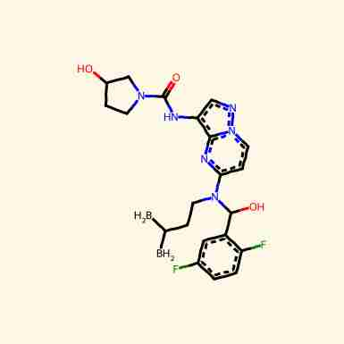 BC(B)CCN(c1ccn2ncc(NC(=O)N3CCC(O)C3)c2n1)C(O)c1cc(F)ccc1F